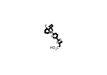 O=C(O)Cc1csc(-c2ccc(NCC3(c4ncccc4F)CCC3)nn2)n1